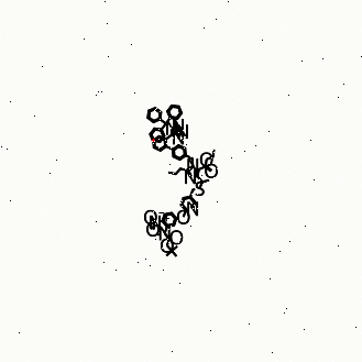 CCCc1nc(C(C)SCc2ccc(Oc3ccc([N+](=O)[O-])c(N(C)C(=O)OC(C)(C)C)c3)nc2)c(C(=O)OCC)n1Cc1ccc(-c2ccccc2-c2nnnn2C(c2ccccc2)(c2ccccc2)c2ccccc2)cc1